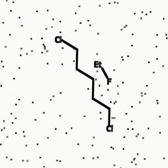 CCF.ClCCCCCCl